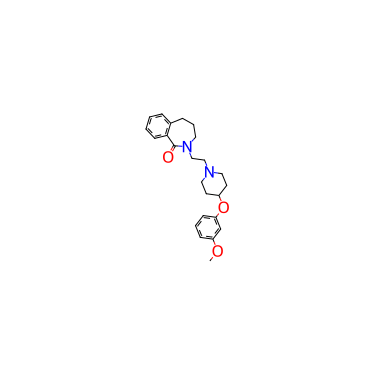 COc1cccc(OC2CCN(CCN3CCCc4ccccc4C3=O)CC2)c1